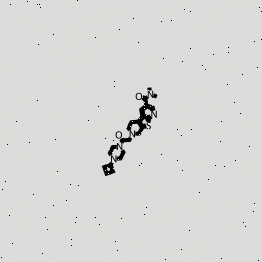 CN(C)C(=O)c1cnc2sc3c(c2c1)CCN(CC(=O)N1CCN(C2CCC2)CC1)C3